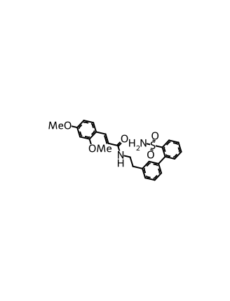 COc1ccc(C=CC(=O)NCCc2cccc(-c3ccccc3S(N)(=O)=O)c2)c(OC)c1